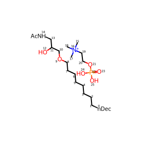 CCCCCCCCCCCCCCCCCCOCC(O)CNC(C)=O.C[N+](C)(C)CCOP(=O)(O)O